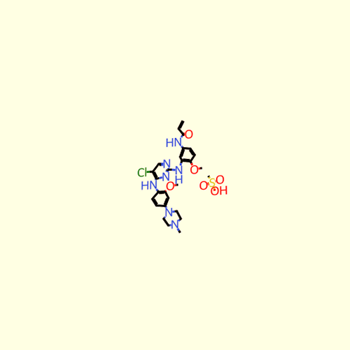 C=CC(=O)Nc1ccc(OC)c(Nc2ncc(Cl)c(Nc3ccc(N4CCN(C)CC4)cc3OC)n2)c1.CS(=O)(=O)O